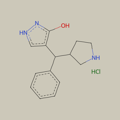 Cl.Oc1n[nH]cc1C(c1ccccc1)C1CCNC1